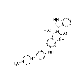 CC1c2cnc(Nc3ccc(N4CCN(C)CC4)cc3)nc2NC(=O)N1C1CNc2ccccc21